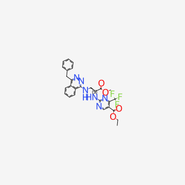 CCOC(=O)c1cnc(N[C@@H](CNc2nnc(Cc3ccccc3)c3ccccc23)C(=O)OC)nc1C(F)(F)F